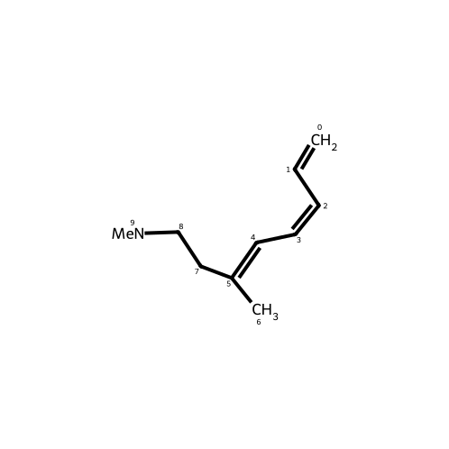 C=C/C=C\C=C(/C)CCNC